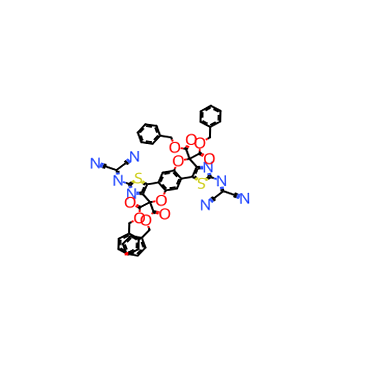 N#CC(C#N)=Nc1nc2c(s1)-c1cc3c(cc1OC2(C(=O)OCc1ccccc1)C(=O)OCc1ccccc1)-c1sc(N=C(C#N)C#N)nc1C(C(=O)OCc1ccccc1)(C(=O)OCc1ccccc1)O3